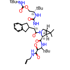 C=CCNC(=O)C(=O)C(CCCC)NC(=O)[C@@H]1[C@@H]2[C@H](CN1C(=O)[C@@H](NC(=O)N[C@H](COC(=O)NC(C)(C)C)C(C)(C)C)C1Cc3ccccc3C1)C2(C)C